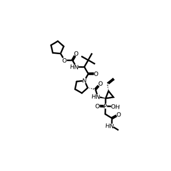 C=C[C@@H]1C[C@]1(NC(=O)[C@@H]1CCCN1C(=O)C(NC(=O)OC1CCCC1)C(C)(C)C)P(=O)(O)CC(=O)NC